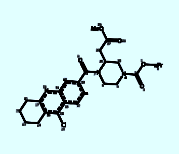 CCCOC(=O)N1CCN(C(=O)c2ccc3c(Cl)c4c(nc3c2)CCCC4)C(CC(=O)OC)C1